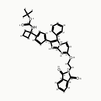 CC(C)(C)OC(=O)NC1(c2ccc(-c3nc4nc(OCCN5C(=O)c6ccccc6C5=O)ccn4c3-c3ccccc3)cc2)CCC1